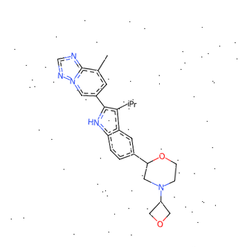 Cc1cc(-c2[nH]c3ccc(C4CN(C5COC5)CCO4)cc3c2C(C)C)cn2ncnc12